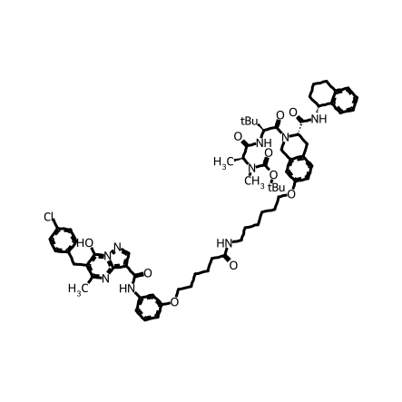 Cc1nc2c(C(=O)Nc3cccc(OCCCCCC(=O)NCCCCCCOc4ccc5c(c4)CN(C(=O)[C@@H](NC(=O)[C@H](C)N(C)C(=O)OC(C)(C)C)C(C)(C)C)[C@H](C(=O)N[C@@H]4CCCc6ccccc64)C5)c3)cnn2c(O)c1Cc1ccc(Cl)cc1